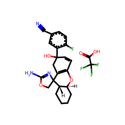 N#Cc1ccc(F)c(C2(O)C=CC3=C(C2)C2(COC(N)=N2)[C@H]2CCCC[C@@H]2O3)c1.O=C(O)C(F)(F)F